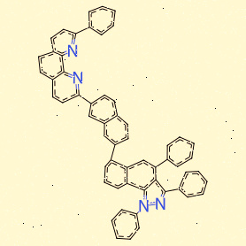 c1ccc(-c2ccc3ccc4ccc(-c5ccc6ccc(-c7cccc8c7cc(-c7ccccc7)c7c(-c9ccccc9)nn(-c9ccccc9)c78)cc6c5)nc4c3n2)cc1